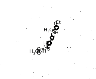 CCOc1cccc([C@@H](C)NCC2CC[C@H](c3ccc(C(=O)NCCNS(C)(=O)=O)cc3)C2)c1